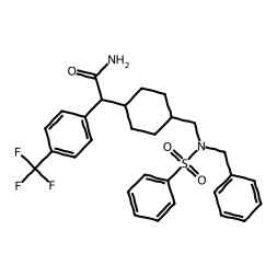 NC(=O)C(c1ccc(C(F)(F)F)cc1)C1CCC(CN(Cc2ccccc2)S(=O)(=O)c2ccccc2)CC1